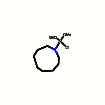 CC[Si](OC)(OC)N1CCCCCCCC1